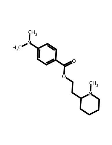 CN(C)c1ccc(C(=O)OCCC2CCCCN2C)cc1